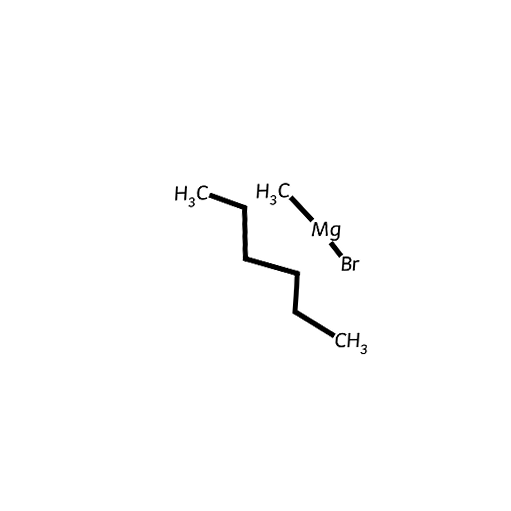 CCCCCC.[CH3][Mg][Br]